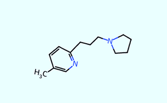 Cc1ccc(CCCN2CCCC2)nc1